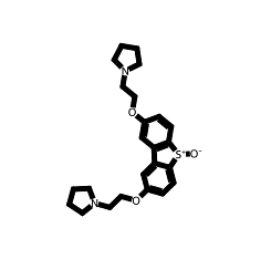 [O-][s+]1c2ccc(OCCN3CCCC3)cc2c2cc(OCCN3CCCC3)ccc21